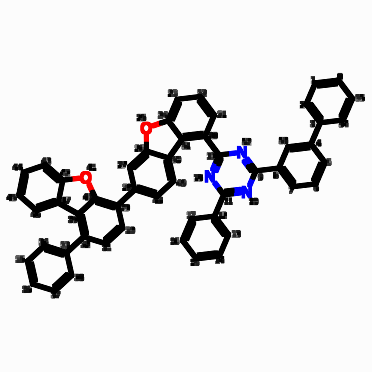 c1ccc(-c2cccc(-c3nc(-c4ccccc4)nc(-c4cccc5oc6cc(-c7ccc(-c8ccccc8)c8c7oc7ccccc78)ccc6c45)n3)c2)cc1